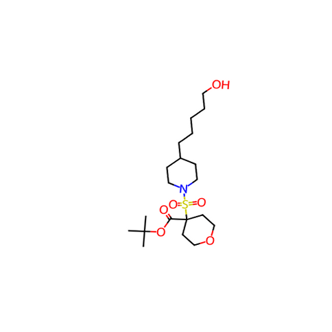 CC(C)(C)OC(=O)C1(S(=O)(=O)N2CCC(CCCCCO)CC2)CCOCC1